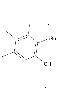 CCC(C)c1c(O)cc(C)c(C)c1C